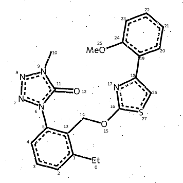 CCc1cccc(-n2nnn(C)c2=O)c1COc1nc(-c2ccccc2OC)cs1